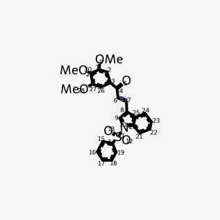 COc1cc(C(=O)/C=C/c2cn(S(=O)(=O)c3ccccc3)c3ccccc23)cc(OC)c1OC